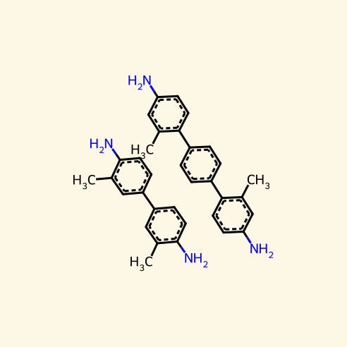 Cc1cc(-c2ccc(N)c(C)c2)ccc1N.Cc1cc(N)ccc1-c1ccc(-c2ccc(N)cc2C)cc1